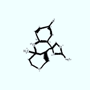 CC12CCOCC1C1(COC(N)=N1)c1cc(Br)ccc1O2